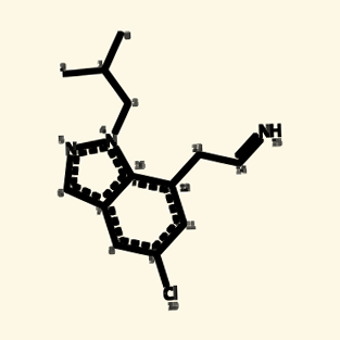 CC(C)Cn1ncc2cc(Cl)cc(CC=N)c21